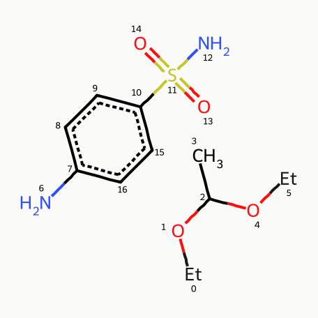 CCOC(C)OCC.Nc1ccc(S(N)(=O)=O)cc1